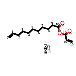 C=CCCCCCCCCC(=O)OC(=O)C=C.[Zn].[Zn]